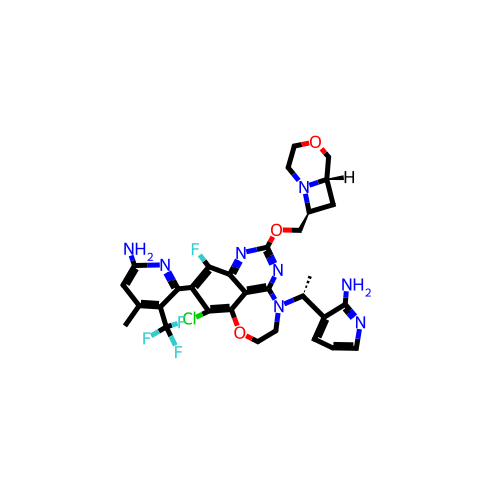 Cc1cc(N)nc(-c2c(Cl)c3c4c(nc(OC[C@@H]5C[C@H]6COCCN65)nc4c2F)N([C@H](C)c2cccnc2N)CCO3)c1C(F)(F)F